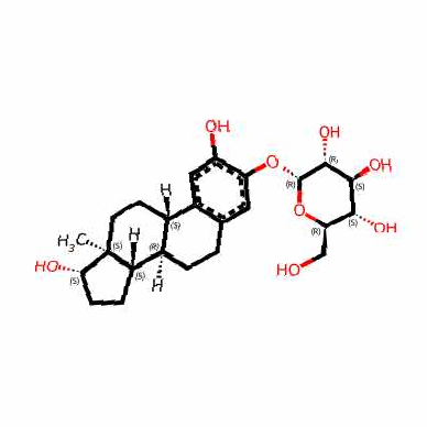 C[C@]12CC[C@@H]3c4cc(O)c(O[C@H]5O[C@H](CO)[C@@H](O)[C@H](O)[C@H]5O)cc4CC[C@H]3[C@@H]1CC[C@@H]2O